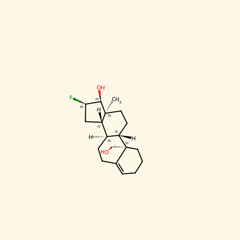 C[C@]12CC[C@H]3[C@@H](CCC4=CCCC[C@@]43CO)[C@@H]1C[C@@H](F)[C@H]2O